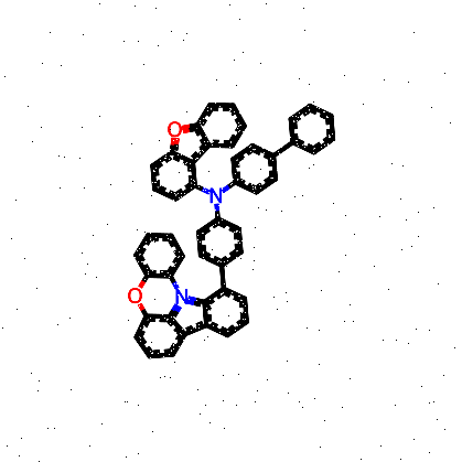 c1ccc(-c2ccc(N(c3ccc(-c4cccc5c6cccc7c6n(c45)-c4ccccc4O7)cc3)c3cccc4oc5ccccc5c34)cc2)cc1